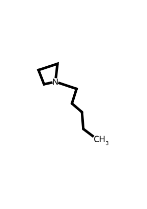 CCCCCN1CCC1